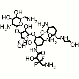 NC[C@@H]1O[C@H](O[C@H]2[C@@H](O)[C@H](O[C@@H]3[C@@H](O)[C@H](NC(=O)C(O)C(F)(F)CN)C[C@H](N)[C@H]3O[C@H]3O[C@H](CNCCO)CC[C@H]3N)O[C@@H]2CO)[C@H](N)[C@@H](O)[C@@H]1O